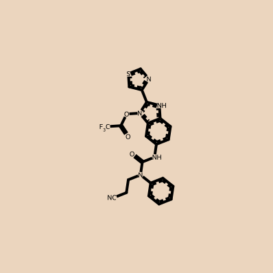 N#CCCN(C(=O)Nc1ccc2[nH]c(-c3cscn3)[n+](OC(=O)C(F)(F)F)c2c1)c1ccccc1